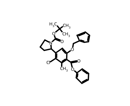 Cc1c(Cl)c(C2CCCN2C(=O)OC(C)(C)C)cc(OCc2ccccc2)c1C(=O)Oc1ccccc1